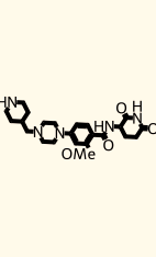 COc1cc(N2CCN(CC3CCNCC3)CC2)ccc1C(=O)NC1CCC(=O)NC1=O